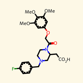 COc1cc(OCC(=O)N2CCN(Cc3ccc(F)cc3)CC2CC(=O)O)cc(OC)c1OC